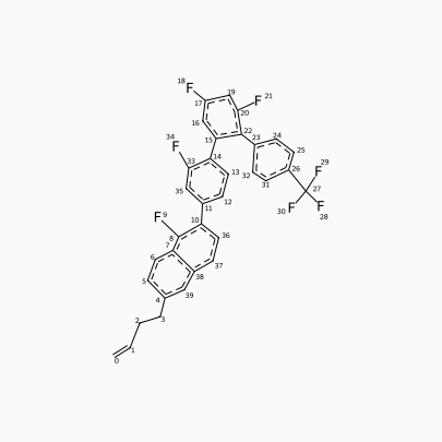 C=CCCc1ccc2c(F)c(-c3ccc(-c4cc(F)cc(F)c4-c4ccc(C(F)(F)F)cc4)c(F)c3)ccc2c1